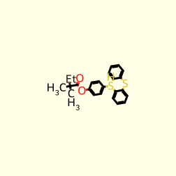 CCC(C)(C)C(=O)Oc1ccc([SH]2c3ccccc3Sc3ccccc32)cc1